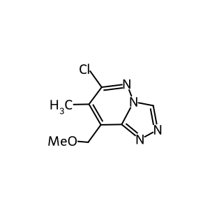 COCc1c(C)c(Cl)nn2cnnc12